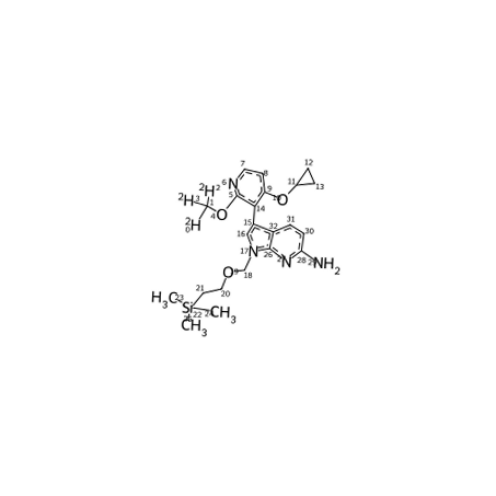 [2H]C([2H])([2H])Oc1nccc(OC2CC2)c1-c1cn(COCC[Si](C)(C)C)c2nc(N)ccc12